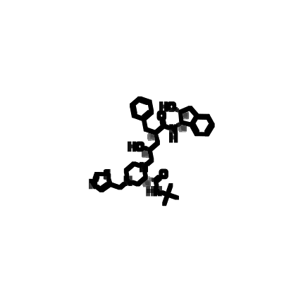 CC(C)(C)NC(=O)[C@@H]1CN(Cc2cncs2)CCN1C[C@@H](O)C[C@@H](Cc1ccccc1)C(=O)N[C@H]1c2ccccc2C[C@H]1O